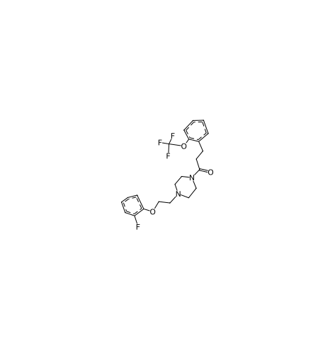 O=C(CCc1ccccc1OC(F)(F)F)N1CCN(CCOc2ccccc2F)CC1